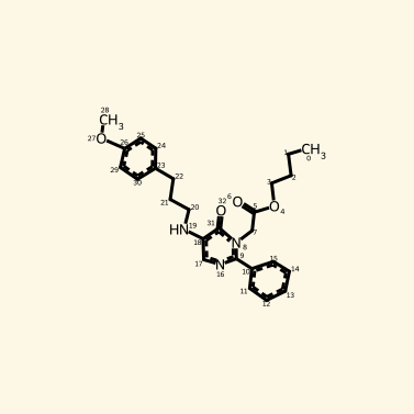 CCCCOC(=O)Cn1c(-c2ccccc2)ncc(NCCCc2ccc(OC)cc2)c1=O